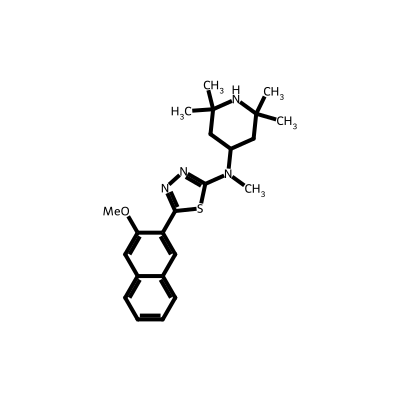 COc1cc2ccccc2cc1-c1nnc(N(C)C2CC(C)(C)NC(C)(C)C2)s1